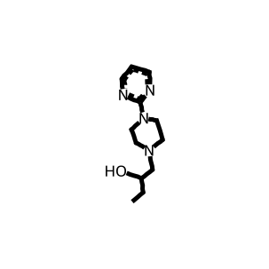 CCC(O)CN1CCN(c2ncccn2)CC1